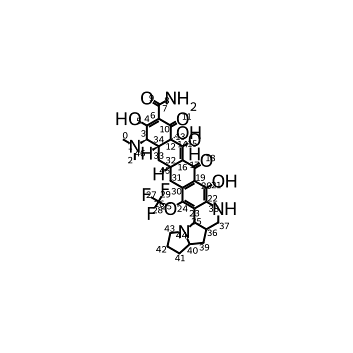 CN(C)[C@H]1C(O)=C(C(N)=O)C(=O)[C@@]2(O)C(O)=C3C(=O)c4c(O)c5c(c(OC(F)(F)F)c4C[C@@H]3C[C@H]12)C1C(CN5)CC2CCCN21